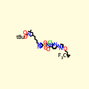 CC(C)(C)OC(=O)N1CC(CCCCn2cc(S(=O)(=O)NC(=O)c3ccc(-n4ccc(OCCC5(C(F)(F)F)CC5)n4)nc3Cl)cn2)CC1(C)C